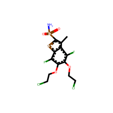 Cc1c(S(N)(=O)=O)sc2c(F)c(OCCCl)c(OCCCl)c(F)c12